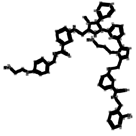 COCCCn1c(CNc2cccc(C(=O)NCc3cccnc3C(F)(F)F)c2)nnc1-c1ccnc(N2NC(CNc3cccc(C(=O)NCc4ccc(OCCOC)cc4)c3)N(C)C2c2ccncn2)n1